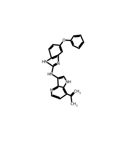 C=C(C)c1ccnc2c(Nc3nc4cc(Oc5ccccc5)ccc4[nH]3)c[nH]c12